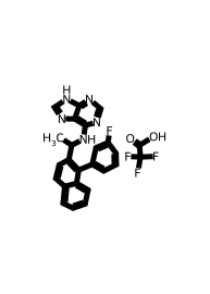 CC(Nc1ncnc2[nH]cnc12)c1ccc2ccccc2c1-c1cccc(F)c1.O=C(O)C(F)(F)F